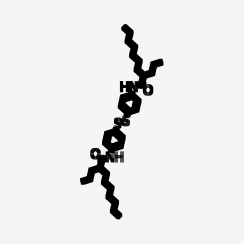 CCCCCCCC(CCC)C(=O)Nc1ccc(SSc2ccc(NC(=O)C(CCC)CCCCCCC)cc2)cc1